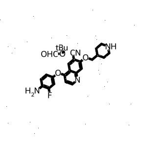 CC(C)(C)OC=O.N#Cc1cc2c(Oc3ccc(N)c(F)c3)ccnc2cc1OCC1CCNCC1